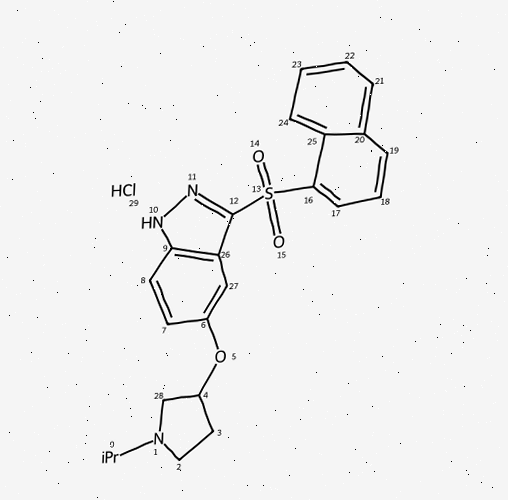 CC(C)N1CCC(Oc2ccc3[nH]nc(S(=O)(=O)c4cccc5ccccc45)c3c2)C1.Cl